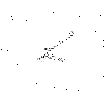 O=C(O)CC1=CCN(Cc2cc(C(O)CNCCCCCCOCCCCc3ccccc3)ccc2OP(=O)(O)O)C=C1